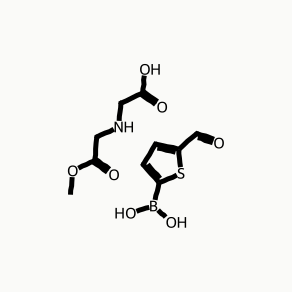 COC(=O)CNCC(=O)O.O=Cc1ccc(B(O)O)s1